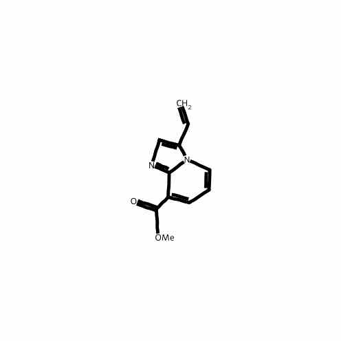 C=Cc1cnc2c(C(=O)OC)cccn12